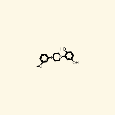 COc1cccc(N2CCN(c3cc(O)ccc3O)CC2)c1